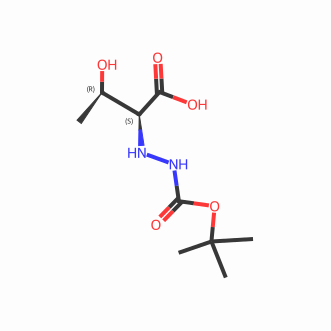 C[C@@H](O)[C@H](NNC(=O)OC(C)(C)C)C(=O)O